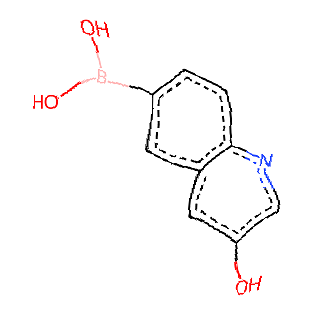 OB(O)c1ccc2ncc(O)cc2c1